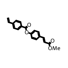 C=Cc1ccc(C(=O)Oc2ccc(/C=C/C(=O)OC)cc2)cc1